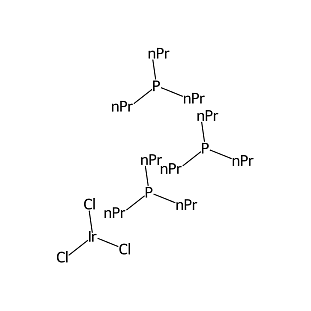 CCCP(CCC)CCC.CCCP(CCC)CCC.CCCP(CCC)CCC.[Cl][Ir]([Cl])[Cl]